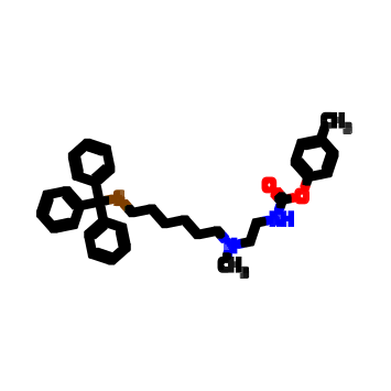 Cc1ccc(OC(=O)NCCN(C)CCCCCCSC(c2ccccc2)(c2ccccc2)c2ccccc2)cc1